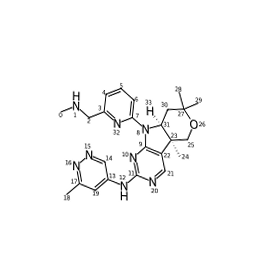 CNCc1cccc(N2c3nc(Nc4cnnc(C)c4)ncc3[C@]3(C)COC(C)(C)C[C@H]23)n1